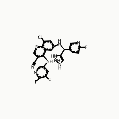 N#Cc1cnc2c(Cl)cc(N[C@H](C3=CNNN3)c3ccc(F)nc3)cc2c1Nc1cnc(F)c(F)c1